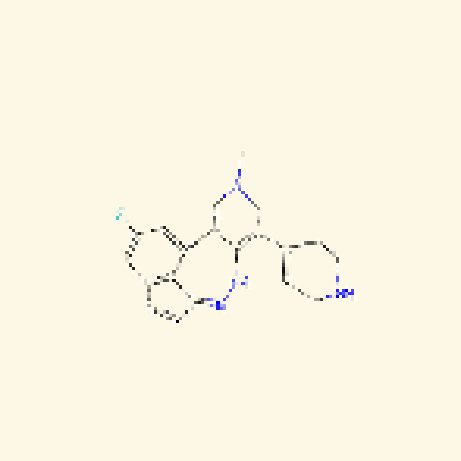 CN1C=C2C(=C(C3=CCNCC3)C1)NN=C1C=Cc3cc(F)cc2c31